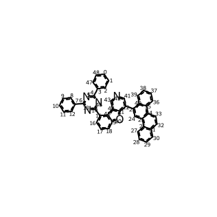 c1ccc(-c2nc(-c3ccccc3)nc(-c3cccc4oc5c(-c6cc7c8ccccc8ccc7c7ccccc67)cncc5c34)n2)cc1